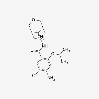 CC(C)Oc1cc(N)c(Cl)cc1C(=O)NC1CC2COCC(C1)C2C